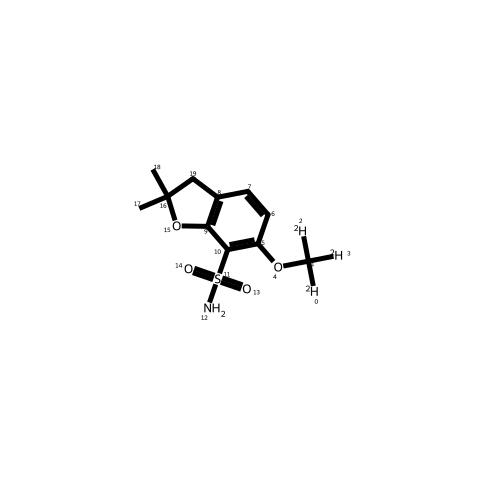 [2H]C([2H])([2H])Oc1ccc2c(c1S(N)(=O)=O)OC(C)(C)C2